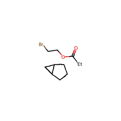 C1CC2CC2C1.CCC(=O)OCCBr